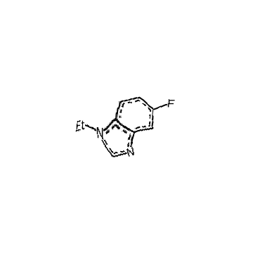 CCn1cnc2cc(F)ccc21